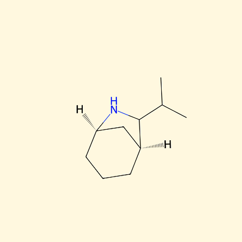 CC(C)C1N[C@@H]2CCC[C@H]1C2